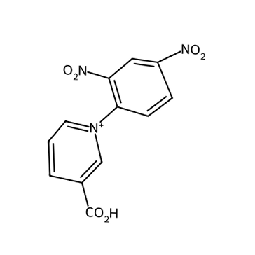 O=C(O)c1ccc[n+](-c2ccc([N+](=O)[O-])cc2[N+](=O)[O-])c1